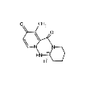 Cc1c2n(ccc1=O)N[C@@H]1CCCCN1C2=O